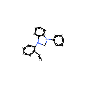 C=Cc1ccccc1N1CN(c2ccccc2)c2ccccc21